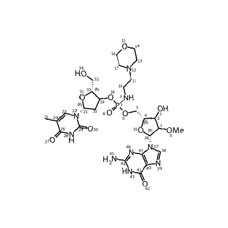 COC1C(O)[C@@H](COP(=O)(NCCN2CCOCC2)OC2C[C@H](n3cc(C)c(=O)[nH]c3=O)O[C@@H]2CO)O[C@H]1n1cnc2c(=O)[nH]c(N)nc21